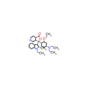 CCOc1cc(N(CC)CC)ccc1C1(c2c(C)n(CC)c3ccccc23)OC(=O)c2ccncc21